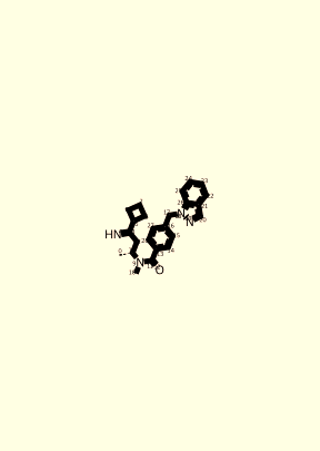 C[C@H](CC(=N)C1CCC1)N(C)C(=O)c1ccc(Cn2ncc3ccccc32)cc1